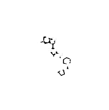 O=C1CC[C@H](C(=O)N2CCC[C@@H](CNc3nc(-c4c[nH]c5ncc(Cl)cc45)ncc3F)C2)O1